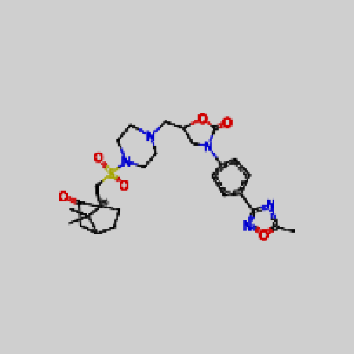 Cc1nc(-c2ccc(N3CC(CN4CCN(S(=O)(=O)C[C@]56CCC(CC5=O)C6(C)C)CC4)OC3=O)cc2)no1